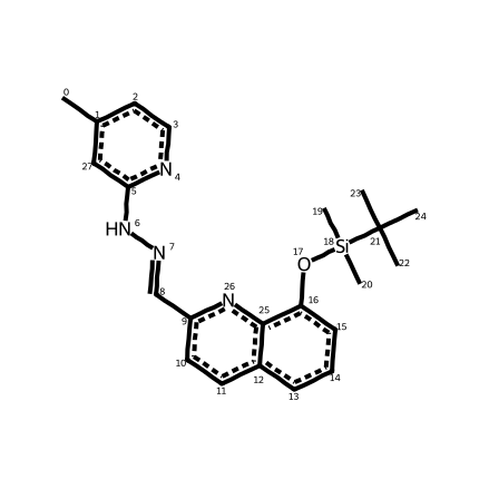 Cc1ccnc(NN=Cc2ccc3cccc(O[Si](C)(C)C(C)(C)C)c3n2)c1